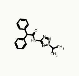 CC(C)n1nnc(NC(=O)C(c2ccccc2)c2ccccc2)n1